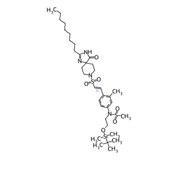 CCCCCCCCCC1=NC2(CCN(S(=O)(=O)/C=C/c3ccc(N(CCO[Si](C)(C)C(C)(C)C)S(C)(=O)=O)cc3C)CC2)C(=O)N1